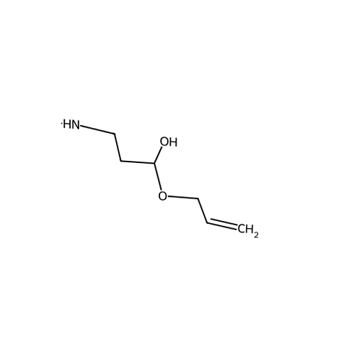 C=CCOC(O)CC[NH]